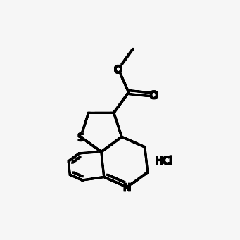 COC(=O)C1CSC23C=CC=CC2=NCCC13.Cl